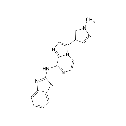 Cn1cc(-c2cnc3c(Nc4nc5ccccc5s4)nccn23)cn1